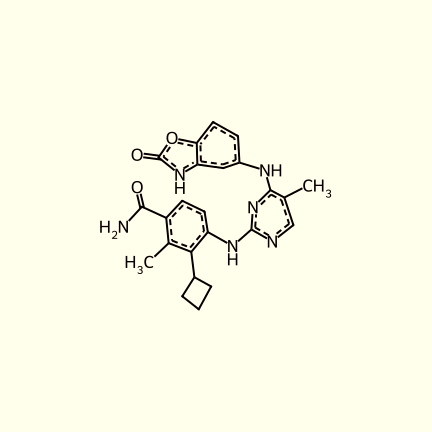 Cc1cnc(Nc2ccc(C(N)=O)c(C)c2C2CCC2)nc1Nc1ccc2oc(=O)[nH]c2c1